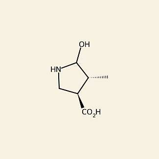 C[C@H]1C(O)NC[C@@H]1C(=O)O